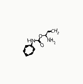 C=CC(N)OC(=O)Nc1ccccc1